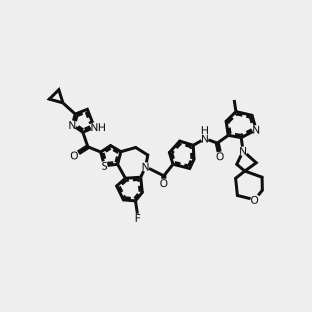 Cc1cnc(N2CC3(CCOCC3)C2)c(C(=O)Nc2ccc(C(=O)N3CCc4cc(C(=O)c5nc(C6CC6)c[nH]5)sc4-c4ccc(F)cc43)cc2)c1